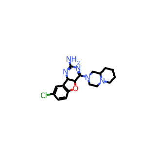 NC1=NC2c3cc(Cl)ccc3OC2C(N2CCN3CCCCC3C2)=N1